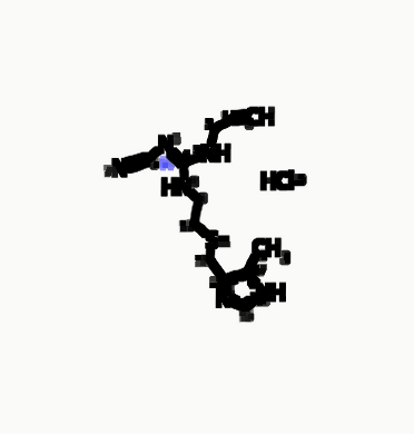 C#CCN/C(=N/C#N)NCCSCc1nc[nH]c1C.Cl